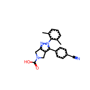 Cc1cccc(C)c1-n1nc2c(c1-c1ccc(C#N)cc1)CN(C(=O)O)C2